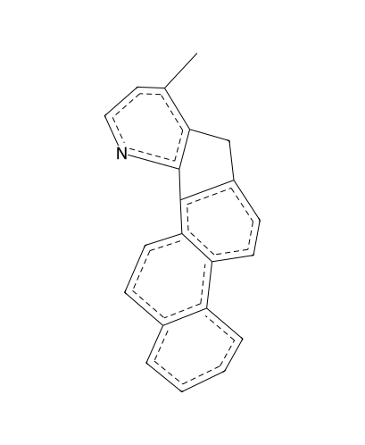 Cc1ccnc2c1Cc1ccc3c(ccc4ccccc43)c1-2